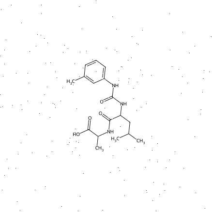 Cc1cccc(NC(=O)NC(CC(C)C)C(=O)NC(C)C(=O)O)c1